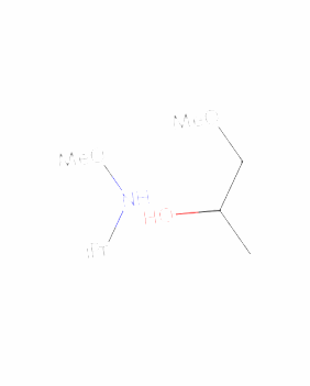 COCC(C)O.CONC(C)C